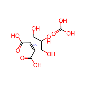 O=C(O)/C=C\C(=O)O.O=C(O)O.OCC(O)CO